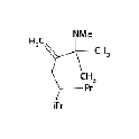 C=C(CC(C(C)C)C(C)C)C(C)(C)NC